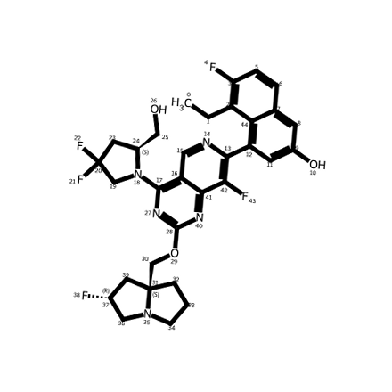 CCc1c(F)ccc2cc(O)cc(-c3ncc4c(N5CC(F)(F)C[C@H]5CO)nc(OC[C@@]56CCCN5C[C@H](F)C6)nc4c3F)c12